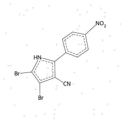 N#Cc1c(-c2ccc([N+](=O)[O-])cc2)[nH]c(Br)c1Br